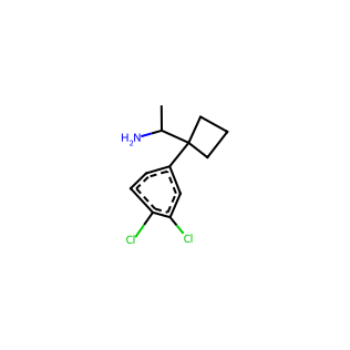 CC(N)C1(c2ccc(Cl)c(Cl)c2)CCC1